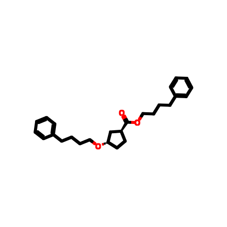 O=C(OCCCCc1ccccc1)[C@H]1CC[C@H](OCCCCc2ccccc2)C1